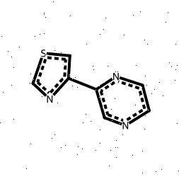 [c]1nc(-c2cnccn2)cs1